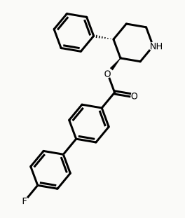 O=C(O[C@@H]1CNCC[C@H]1c1ccccc1)c1ccc(-c2ccc(F)cc2)cc1